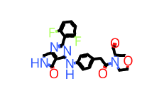 O=CC1COCCN1C(=O)Cc1ccc(Nc2nc(-c3c(F)cccc3F)nc3c2C(=O)NC3)cc1